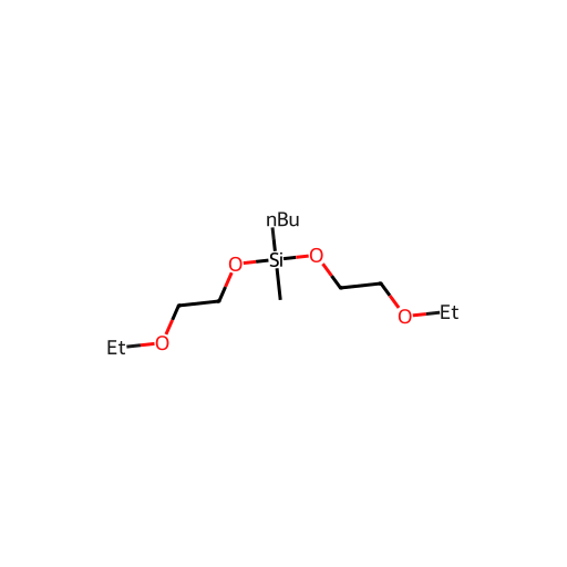 CCCC[Si](C)(OCCOCC)OCCOCC